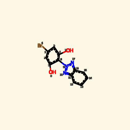 Oc1cc(Br)cc(O)c1-n1nc2ccccc2n1